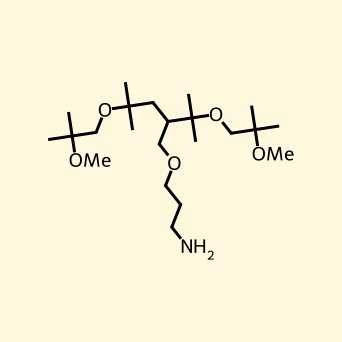 COC(C)(C)COC(C)(C)CC(COCCCN)C(C)(C)OCC(C)(C)OC